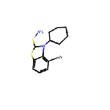 CCCc1cccc2c1N(C1CCCCC1)C(SN)S2